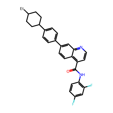 CCC1CCC(c2ccc(-c3ccc4c(C(=O)Nc5ccc(F)cc5F)ccnc4c3)cc2)CC1